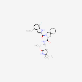 COc1ccc(F)c2[nH]c(C(=O)N3CC4(CCCCC4)CC3C(=O)N[C@@H](C[C@@H]3CC(C)(C)NC3=O)C(=O)O)cc12